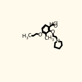 CCCOc1ccc(C=O)c(OCCN2CCCCC2)c1C.Cl